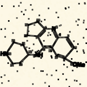 COc1ccc2nc3c(c(NC4CCNCC4)c2c1)CCC3